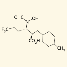 CC1CCC(C[C@@H](C(=O)O)[C@H](CCC(F)(F)F)N(O)C=O)CC1